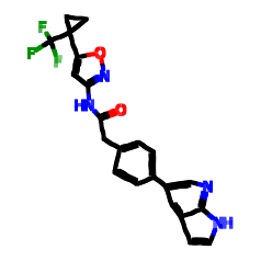 O=C(Cc1ccc(-c2cnc3[nH]ccc3c2)cc1)Nc1cc(C2(C(F)(F)F)CC2)on1